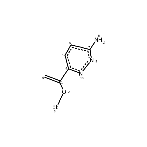 C=C(OCC)c1ccc(N)nn1